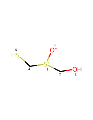 [O-][S+](CO)CS